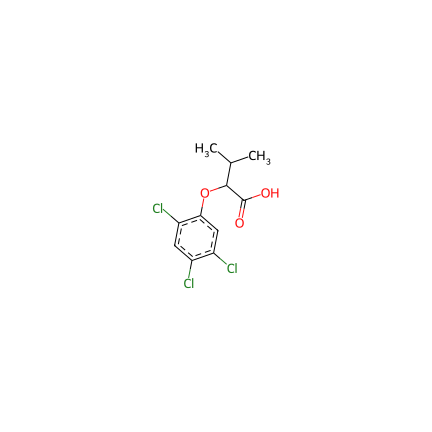 CC(C)C(Oc1cc(Cl)c(Cl)cc1Cl)C(=O)O